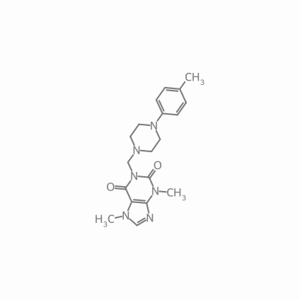 Cc1ccc(N2CCN(Cn3c(=O)c4c(ncn4C)n(C)c3=O)CC2)cc1